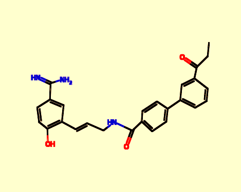 CCC(=O)c1cccc(-c2ccc(C(=O)NC/C=C/c3cc(C(=N)N)ccc3O)cc2)c1